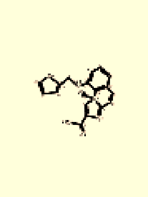 N#C[N+]12C=C(C(=O)O)N=C1C=Cc1cccc(NCc3cccs3)c12